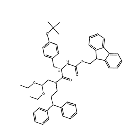 CCOC(CN(CCC(c1ccccc1)c1ccccc1)C(=O)[C@H](Cc1ccc(OC(C)(C)C)cc1)NC(=O)OCC1c2ccccc2-c2ccccc21)OCC